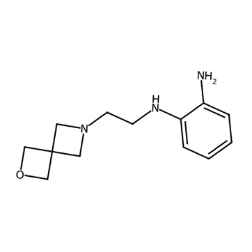 Nc1ccccc1NCCN1CC2(COC2)C1